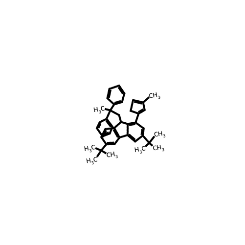 CC1=CCC(c2cc(C(C)(C)C)cc3c2C(CC(C)(c2ccccc2)c2ccccc2)c2ccc(C(C)(C)C)cc2-3)=C1